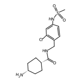 CS(=O)(=O)Nc1ccc(CNC(=O)[C@H]2CC[C@@H](N)CC2)c(Cl)c1